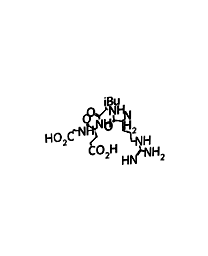 CC[C@H](C)[C@H](NC(=O)[C@@H](N)CCCNC(=N)N)C(=O)N[C@@H](CCC(=O)O)C(=O)NCC(=O)O